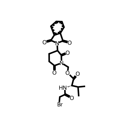 CC(C)[C@H](NC(=O)CBr)C(=O)OCN1C(=O)CCC(N2C(=O)c3ccccc3C2=O)C1=O